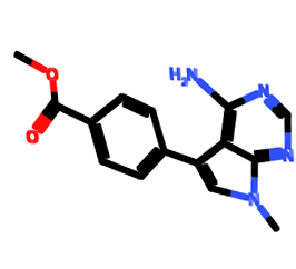 COC(=O)c1ccc(-c2cn(C)c3ncnc(N)c23)cc1